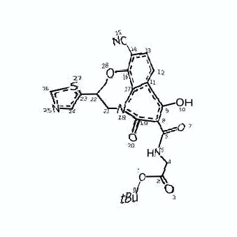 CC(C)(C)OC(=O)CNC(=O)c1c(O)c2ccc(C#N)c3c2n(c1=O)CC(c1cncs1)O3